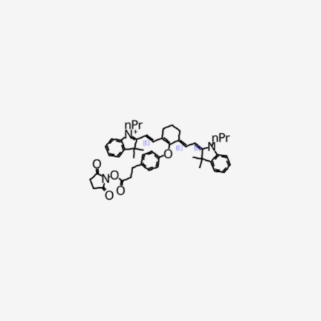 CCCN1/C(=C/C=C2\CCCC(/C=C/C3=[N+](CCC)c4ccccc4C3(C)C)=C2Oc2ccc(CCC(=O)ON3C(=O)CCC3=O)cc2)C(C)(C)c2ccccc21